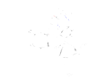 COCOc1ccc(-c2ccc3c(c2COc2cc([N+](=O)[O-])ccc2OC)N(C)C(=O)C(C)(C)N3)c(OC)c1